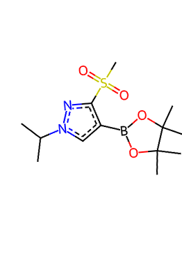 CC(C)n1cc(B2OC(C)(C)C(C)(C)O2)c(S(C)(=O)=O)n1